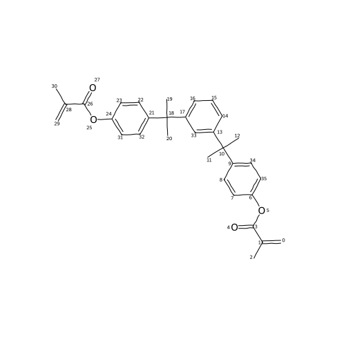 C=C(C)C(=O)Oc1ccc(C(C)(C)c2cccc(C(C)(C)c3ccc(OC(=O)C(=C)C)cc3)c2)cc1